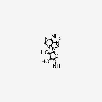 [NH]C[C@H]1O[C@@H](n2cnc3c(N)ncnc32)[C@H](O)[C@@H]1O